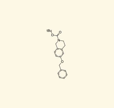 CC(C)(C)OC(=O)N1CCc2cc(OCc3ccccc3)ccc2C1